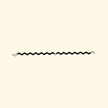 CCCCCCCCCCCCC[CH]OCCCCCCCCCCCCC